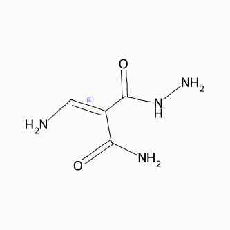 N/C=C(\C(N)=O)C(=O)NN